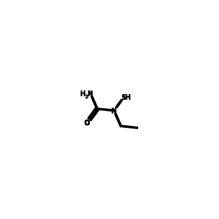 CCN(S)C(N)=O